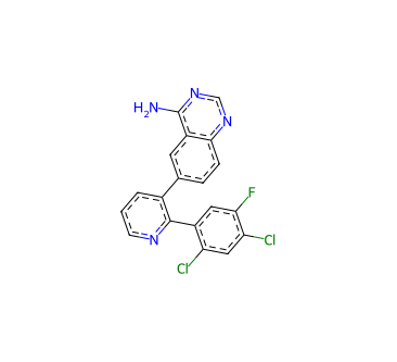 Nc1ncnc2ccc(-c3cccnc3-c3cc(F)c(Cl)cc3Cl)cc12